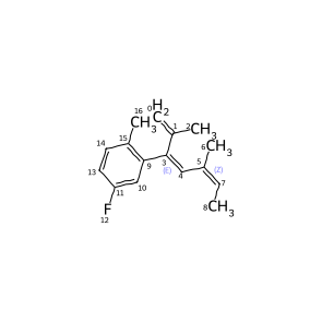 C=C(C)/C(=C\C(C)=C/C)c1cc(F)ccc1C